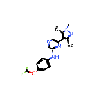 CCc1nn(C)c(CC)c1-c1cncc(Nc2ccc(OC(F)F)cc2)n1